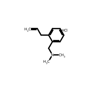 C=CCc1ccccc1CN(C)C.Cl